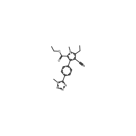 CCOC(=O)c1c(-c2ccc(-c3nnnn3C)cc2)c(C#N)c(CC)n1C